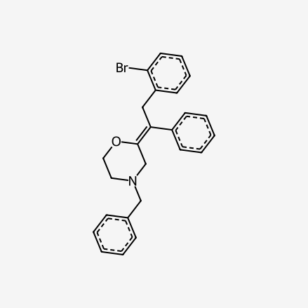 Brc1ccccc1CC(=C1CN(Cc2ccccc2)CCO1)c1ccccc1